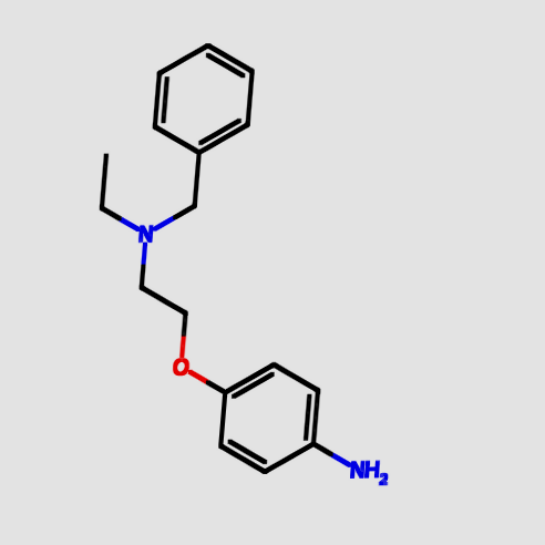 CCN(CCOc1ccc(N)cc1)Cc1ccccc1